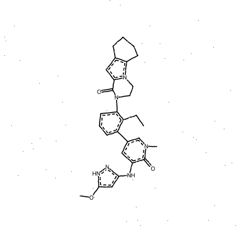 CCc1c(-c2cc(Nc3cc(OC)[nH]n3)c(=O)n(C)c2)cccc1N1CCn2c(cc3c2CCCC3)C1=O